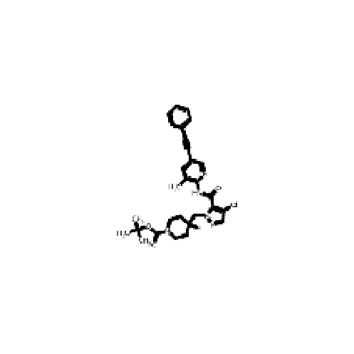 Cc1cc(C#Cc2ccccc2)cnc1NC(=O)c1c(Cl)cnn1CC1(F)CCN(C(=O)OC(C)(C)C)CC1